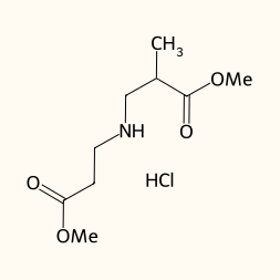 COC(=O)CCNCC(C)C(=O)OC.Cl